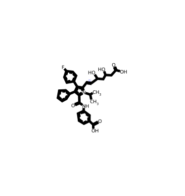 CC(C)n1c(/C=C/C(O)CC(O)CC(=O)O)c(-c2ccc(F)cc2)c(-c2ccccc2)c1C(=O)Nc1cccc(C(=O)O)c1